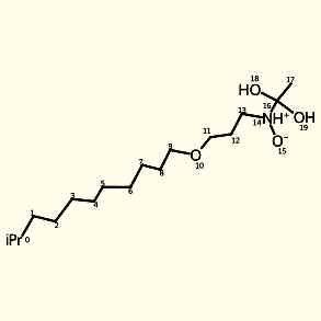 CC(C)CCCCCCCCCOCCC[NH+]([O-])C(C)(O)O